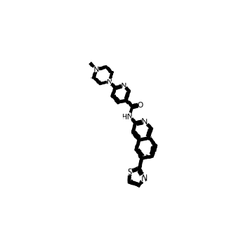 CN1CCN(c2ccc(C(=O)Nc3cc4cc(-c5nccs5)ccc4cn3)cn2)CC1